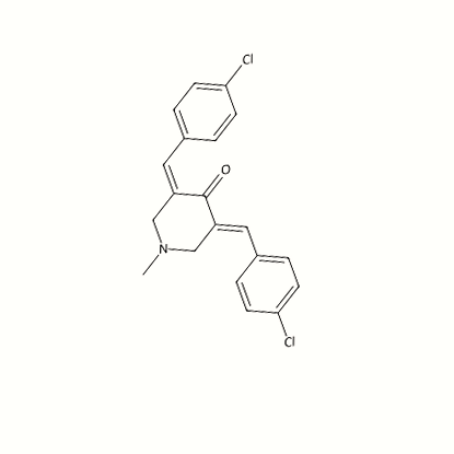 CN1CC(=Cc2ccc(Cl)cc2)C(=O)C(=Cc2ccc(Cl)cc2)C1